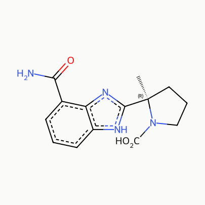 C[C@]1(c2nc3c(C(N)=O)cccc3[nH]2)CCCN1C(=O)O